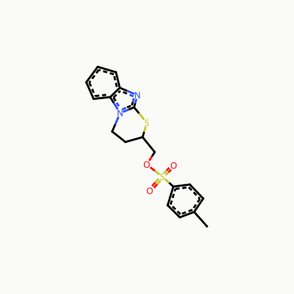 Cc1ccc(S(=O)(=O)OCC2CCn3c(nc4ccccc43)S2)cc1